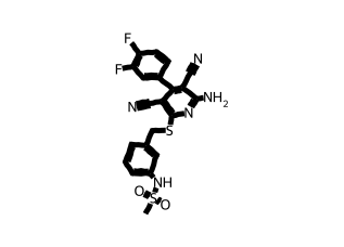 CS(=O)(=O)Nc1cccc(CSc2nc(N)c(C#N)c(-c3ccc(F)c(F)c3)c2C#N)c1